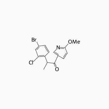 COc1ccc(C(=O)C(C)c2ccc(Br)cc2Cl)cn1